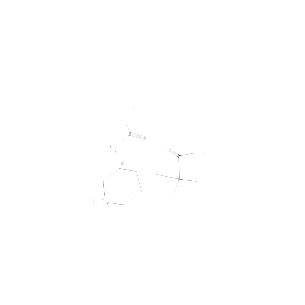 COC(=O)N[C@@H]1CCCNC1.O=C(O)C(F)(F)F